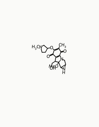 COC12C(CO)C3=C(C(=O)C(C)=C(OC4CCN(C)C4)C3=O)N1CC1NC12